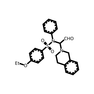 CCOc1ccc(S(=O)(=O)N(c2ccccc2)C(C=O)N2[CH]Cc3ccccc3C2)cc1